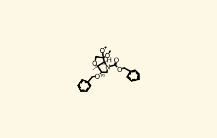 COC1(OC)CO[C@@]2(C)[C@@H]1N(C(=O)OCc1ccccc1)C[C@H]2OCc1ccccc1